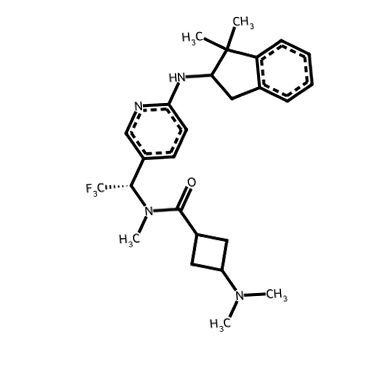 CN(C)C1CC(C(=O)N(C)[C@@H](c2ccc(NC3Cc4ccccc4C3(C)C)nc2)C(F)(F)F)C1